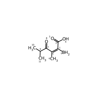 B/C(C(=O)O)=C(\C)C(=O)C(C)C